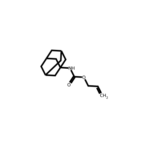 C=CCOC(=O)NC12CC3CC(CC(C3)C1)C2